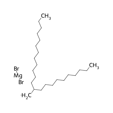 [Br][Mg][Br].[CH2]C(CCCCCCCCCC)CCCCCCCCCCCC